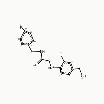 O=C(CNc1ncc(CO)cc1I)NCc1ccc(F)cc1